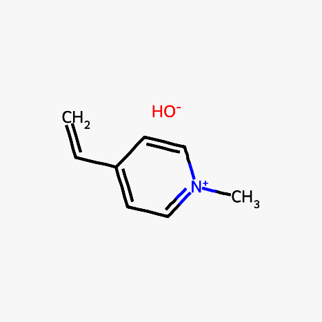 C=Cc1cc[n+](C)cc1.[OH-]